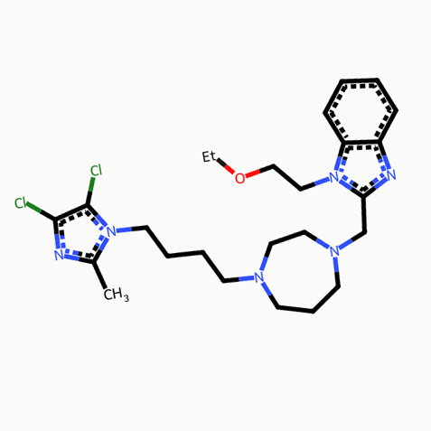 CCOCCn1c(CN2CCCN(CCCCn3c(C)nc(Cl)c3Cl)CC2)nc2ccccc21